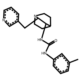 Cc1cccc(NC(=O)NC2C3CCN(CC3)C2Cc2cccnc2)c1